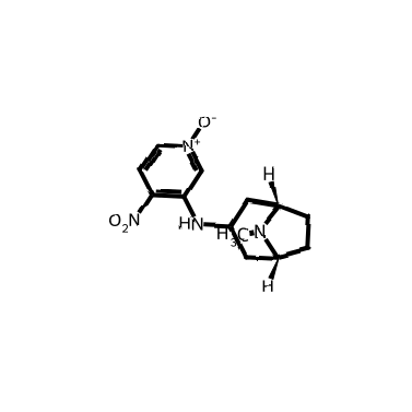 CN1[C@@H]2CC[C@H]1CC(Nc1c[n+]([O-])ccc1[N+](=O)[O-])C2